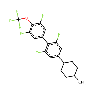 CC1CCC(c2cc(F)c(-c3cc(F)c(OC(F)(F)F)c(F)c3)c(F)c2)CC1